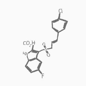 O=C(O)c1[nH]c2ccc(F)cc2c1S(=O)(=O)CC=Cc1ccc(Cl)cc1